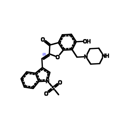 CS(=O)(=O)n1cc(/C=C2\Oc3c(ccc(O)c3CN3CCNCC3)C2=O)c2ccccc21